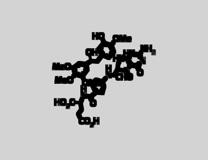 COc1ccc(C[C@@H](O)c2cc(OC)c(OC)c(OC)c2)cc1O.Nc1nc(=O)c2c([nH]1)NCC(CNc1ccc(C(=O)N[C@@H](CCC(=O)O)C(=O)O)cc1)N2C=O